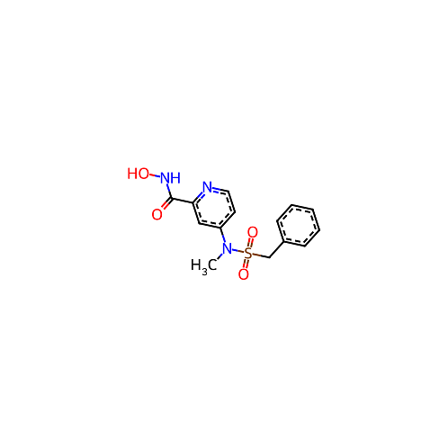 CN(c1ccnc(C(=O)NO)c1)S(=O)(=O)Cc1ccccc1